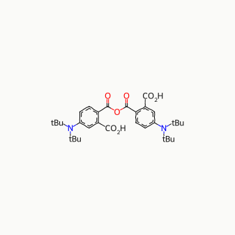 CC(C)(C)N(c1ccc(C(=O)OC(=O)c2ccc(N(C(C)(C)C)C(C)(C)C)cc2C(=O)O)c(C(=O)O)c1)C(C)(C)C